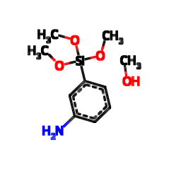 CO.CO[Si](OC)(OC)c1cccc(N)c1